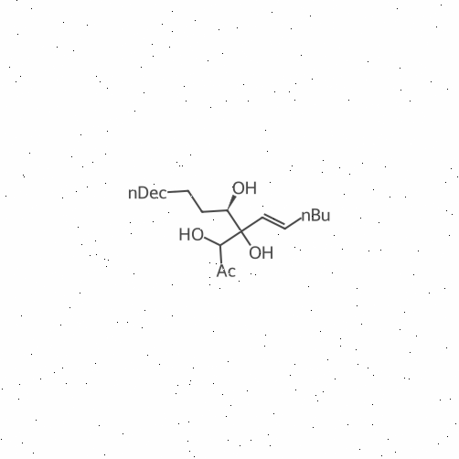 CCCCC=CC(O)(C(O)C(C)=O)[C@H](O)CCCCCCCCCCCC